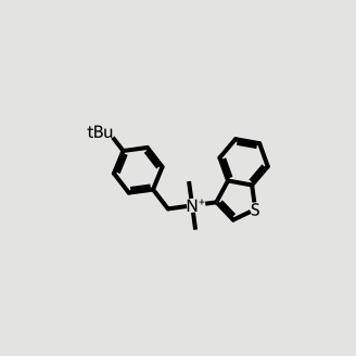 CC(C)(C)c1ccc(C[N+](C)(C)c2csc3ccccc23)cc1